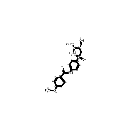 O=CN(O)[C@@H](CO)CS(=O)(=O)c1ccc(NC(=O)c2ccc(OC(F)(F)F)cc2)cc1